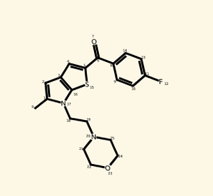 Cc1cc2cc(C(=O)c3ccc(F)cc3)sc2n1CCN1CCOCC1